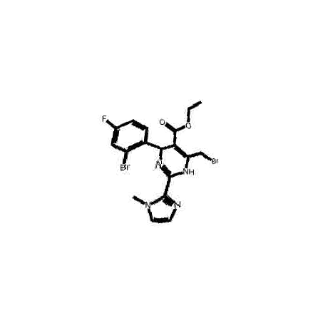 CCOC(=O)C1=C(CBr)NC(c2nccn2C)=NC1c1ccc(F)cc1Br